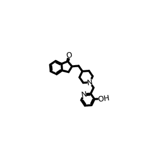 O=C1c2ccccc2CC1CC1CCN(Cc2ncccc2O)CC1